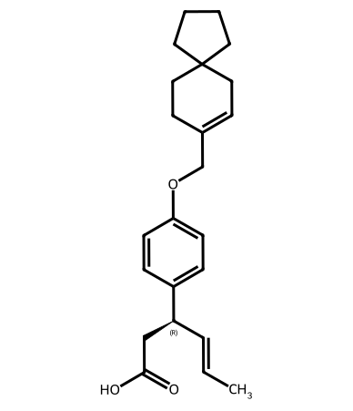 CC=C[C@@H](CC(=O)O)c1ccc(OCC2=CCC3(CCCC3)CC2)cc1